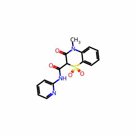 CN1C(=O)C(C(=O)Nc2ccccn2)S(=O)(=O)c2ccccc21